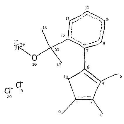 CC1=C(C)C(C)=C(c2ccccc2C(C)(C)[O][Ti+2])C1.[Cl-].[Cl-]